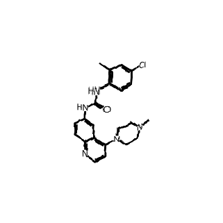 Cc1cc(Cl)ccc1NC(=O)Nc1ccc2nccc(N3CCN(C)CC3)c2c1